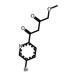 COCC(=O)CC(=O)c1ccc(Br)cn1